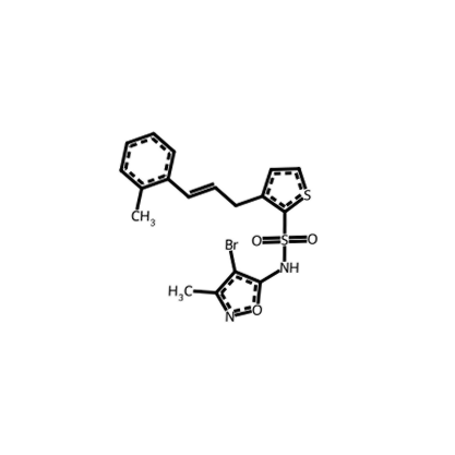 Cc1ccccc1C=CCc1ccsc1S(=O)(=O)Nc1onc(C)c1Br